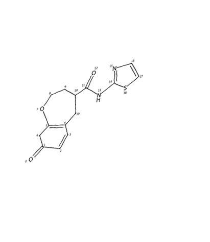 O=C1C=CC2=C(C1)OCCC(C(=O)Nc1nccs1)C2